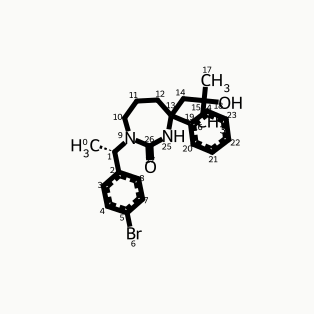 C[C@@H](c1ccc(Br)cc1)N1CCCC(CC(C)(C)O)(c2ccccc2)NC1=O